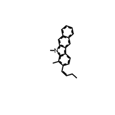 CC/C=C\c1ccc2c3cc4ccccc4cc3n(C)c2c1C